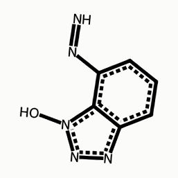 N=Nc1cccc2nnn(O)c12